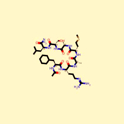 CSCC[C@H](NC(=O)[C@H](C)NC(=O)[C@H](CCCN=C(N)N)NC(=O)[C@H](CC1CCCCC1)NC(C)=O)C(=O)N[C@@H](C)C(=O)N[C@@H](CO)C(=O)N[C@@H](CC(C)C)C(N)=O